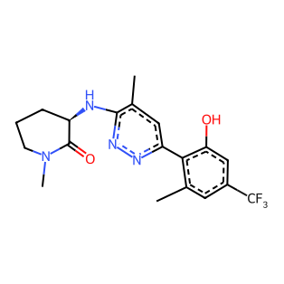 Cc1cc(-c2c(C)cc(C(F)(F)F)cc2O)nnc1N[C@@H]1CCCN(C)C1=O